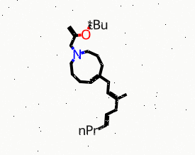 C=C(CN1CCC/C=C(/C/C=C(\C)CC=CCCC)CCC1)OC(C)(C)C